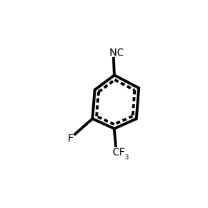 [C-]#[N+]c1ccc(C(F)(F)F)c(F)c1